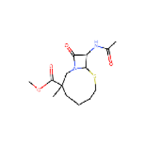 COC(=O)C1(C)CCCCSC2C(NC(C)=O)C(=O)N2C1